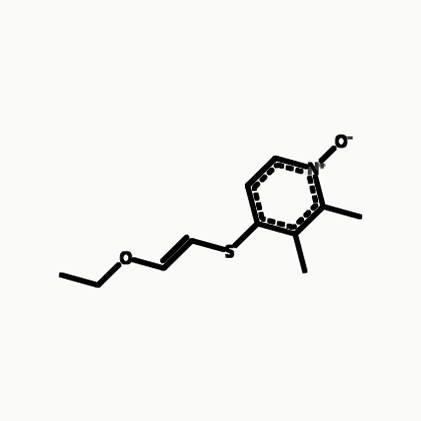 CCOC=CSc1cc[n+]([O-])c(C)c1C